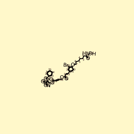 O=C(CCCCCCOc1ccc(C=CC(=O)OCC#CCOc2no[n+]([O-])c2S(=O)(=O)c2ccccc2)cc1Br)NO